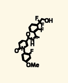 COc1ccc(-n2cc(C(=O)N[C@H](C)c3cccc(C(F)(F)CO)c3F)ccc2=O)c(F)c1